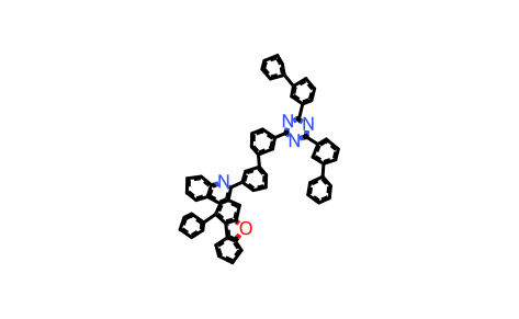 c1ccc(-c2cccc(-c3nc(-c4cccc(-c5ccccc5)c4)nc(-c4cccc(-c5cccc(-c6nc7ccccc7c7c(-c8ccccc8)c8c(cc67)oc6ccccc68)c5)c4)n3)c2)cc1